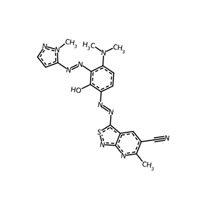 Cc1nc2nsc(/N=N/c3ccc(N(C)C)c(/N=N/c4ccnn4C)c3O)c2cc1C#N